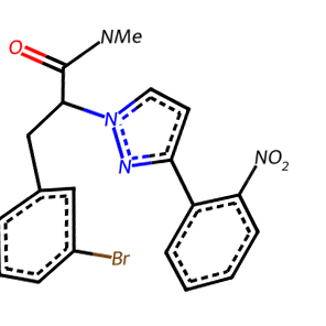 CNC(=O)C(Cc1cccc(Br)c1)n1ccc(-c2ccccc2[N+](=O)[O-])n1